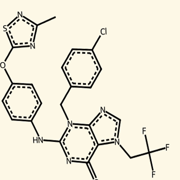 Cc1nsc(Oc2ccc(Nc3nc(=O)c4c(ncn4CC(F)(F)F)n3Cc3ccc(Cl)cc3)cc2)n1